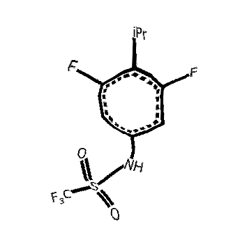 CC(C)c1c(F)cc(NS(=O)(=O)C(F)(F)F)cc1F